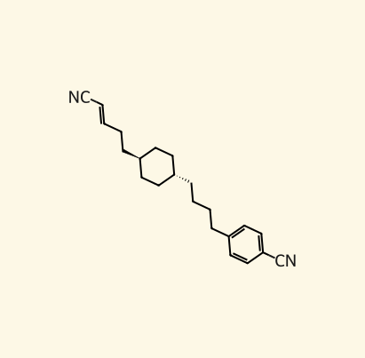 N#CC=CCC[C@H]1CC[C@H](CCCCc2ccc(C#N)cc2)CC1